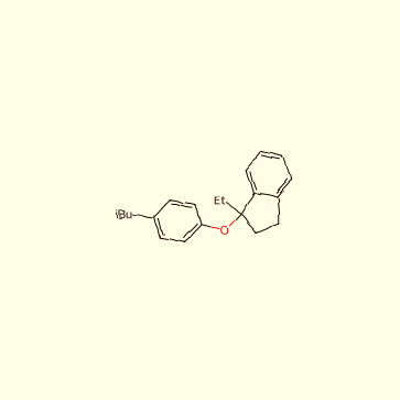 CCC(C)c1ccc(OC2(CC)CCc3ccccc32)cc1